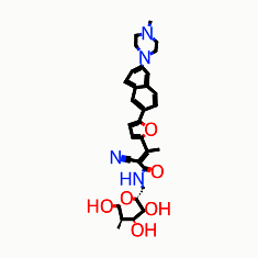 C/C(=C(/C#N)C(=O)NC[C@H]1OC(O)[C@H](C)[C@@H](O)[C@@H]1O)c1ccc(-c2ccc3cc(N4CCN(C)CC4)ccc3c2)o1